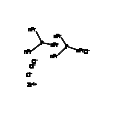 CCCP(CCC)CCC.CCCP(CCC)CCC.[Cl-].[Cl-].[Cl-].[Cl-].[Zr+4]